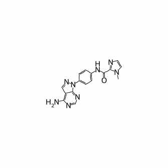 Cn1ccnc1C(=O)Nc1ccc(-n2ncc3c(N)ncnc32)cc1